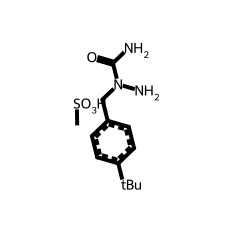 CC(C)(C)c1ccc(CN(N)C(N)=O)cc1.CS(=O)(=O)O